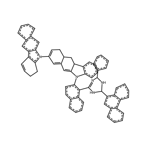 C1=Cc2c(n(C3=CCC4CC5C(=CC4=C3)N(c3ccc4ccccc4c3C3=NC(c4ccccc4)NC(c4cc6ccccc6c6ccccc46)N3)c3ccccc35)c3cc4ccccc4cc23)CC1